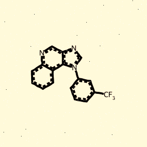 FC(F)(F)c1cccc(-n2cnc3cnc4ccccc4c32)c1